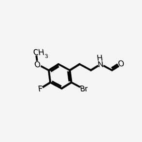 COc1cc(CCNC=O)c(Br)cc1F